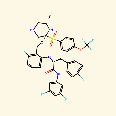 C[C@H]1CNC[C@](CCc2c(F)cccc2N[C@@H](Cc2ccc(F)cc2)C(=O)Nc2cc(F)cc(F)c2)(S(=O)(=O)c2ccc(OC(F)(F)F)cc2)N1